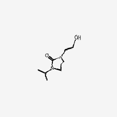 CC(C)N1CCN(CCO)C1=O